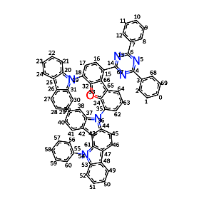 c1ccc(-c2nc(-c3ccccc3)nc(-c3ccc(-n4c5ccccc5c5ccccc54)c4oc5c(-n6c7ccccc7c7c6ccc6c8ccccc8n(-c8ccccc8)c67)cccc5c34)n2)cc1